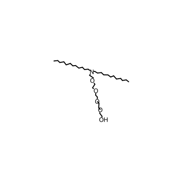 CCCCCCCCCCCCN(CCCCCCCCCCCC)CCOCCOCCOCCOCCO